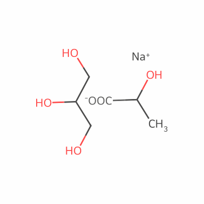 CC(O)C(=O)[O-].OCC(O)CO.[Na+]